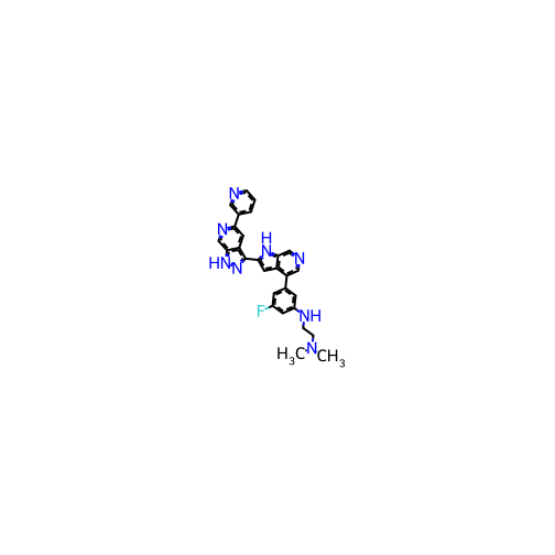 CN(C)CCNc1cc(F)cc(-c2cncc3[nH]c(-c4n[nH]c5cnc(-c6cccnc6)cc45)cc23)c1